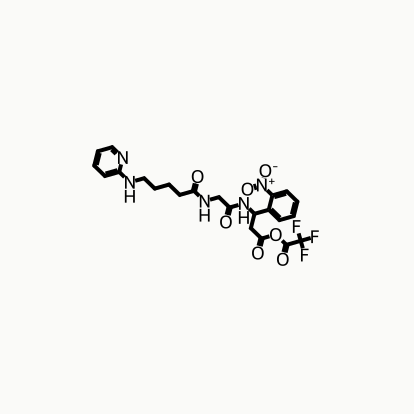 O=C(CCCCNc1ccccn1)NCC(=O)NC(CC(=O)OC(=O)C(F)(F)F)c1ccccc1[N+](=O)[O-]